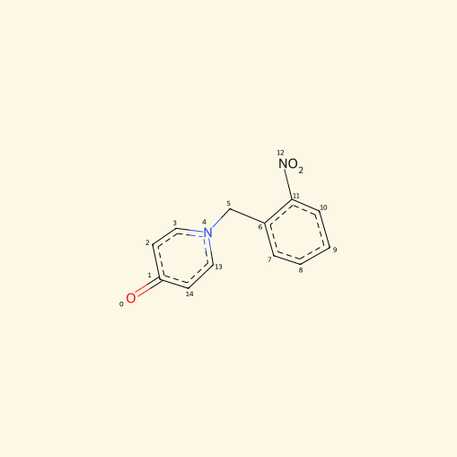 O=c1ccn(Cc2ccccc2[N+](=O)[O-])cc1